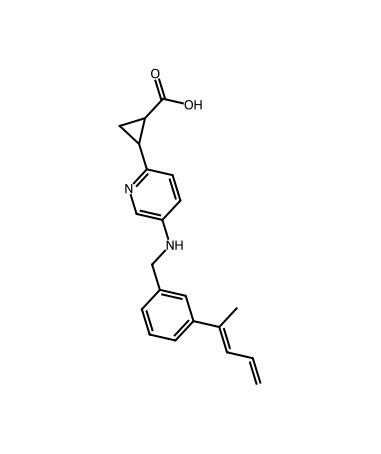 C=C/C=C(\C)c1cccc(CNc2ccc(C3CC3C(=O)O)nc2)c1